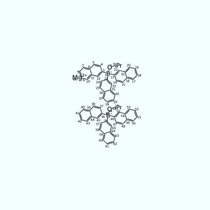 CC(C)O[B-](c1ccc2ccccc2c1)(c1ccc2ccccc2c1)c1ccc2ccccc2c1.CC(C)O[B-](c1ccc2ccccc2c1)(c1ccc2ccccc2c1)c1ccc2ccccc2c1.[Mg+2]